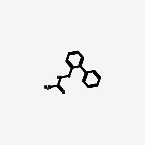 NC(=O)NSc1ccccc1-c1ccccc1